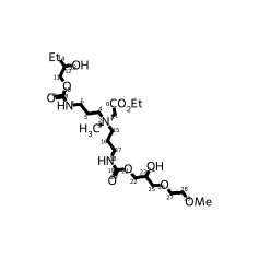 CCOC(=O)C[N+](C)(CCCNC(=O)OCC(O)CC)CCCNC(=O)OCC(O)COCCOC